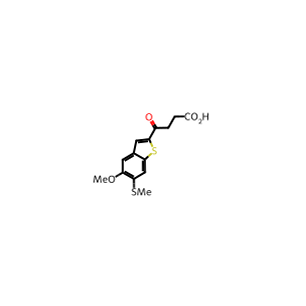 COc1cc2cc(C(=O)CCC(=O)O)sc2cc1SC